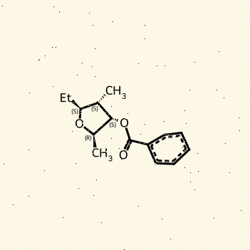 CC[C@@H]1O[C@H](C)[C@@H](OC(=O)c2ccccc2)[C@H]1C